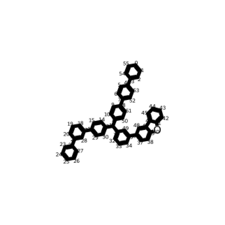 c1ccc(-c2ccc(-c3ccc(C(c4ccc(-c5cccc(-c6ccccc6)c5)cc4)c4cccc(-c5ccc6oc7ccccc7c6c5)c4)cc3)cc2)cc1